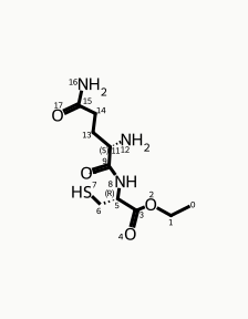 CCOC(=O)[C@H](CS)NC(=O)[C@@H](N)CCC(N)=O